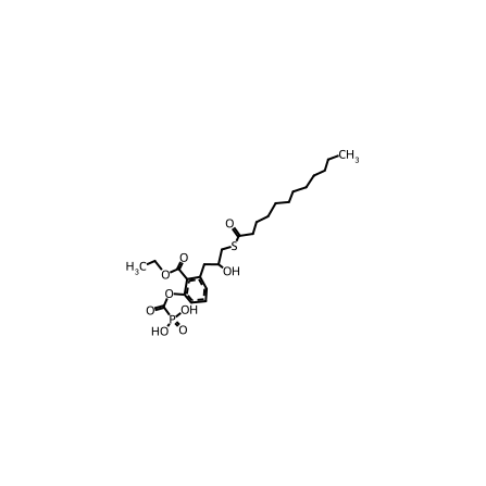 CCCCCCCCCCCC(=O)SCC(O)Cc1cccc(OC(=O)P(=O)(O)O)c1C(=O)OCC